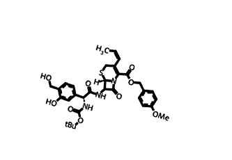 C/C=C\C1=C(C(=O)OCc2ccc(OC)cc2)N2C(=O)C(NC(=O)[C@H](NC(=O)OC(C)(C)C)c3ccc(CO)c(O)c3)[C@@H]2SC1